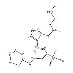 CNCCN(C)Cc1c[nH]nc1-c1cc(OC2CCOCC2)cc(C(F)(F)F)c1